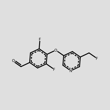 O=Cc1cc(F)c(Oc2cncc(CF)c2)c(F)c1